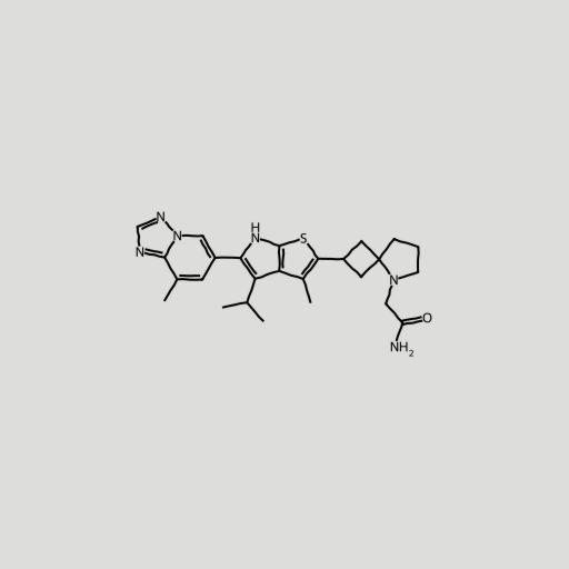 Cc1c(C2CC3(CCCN3CC(N)=O)C2)sc2[nH]c(-c3cc(C)c4ncnn4c3)c(C(C)C)c12